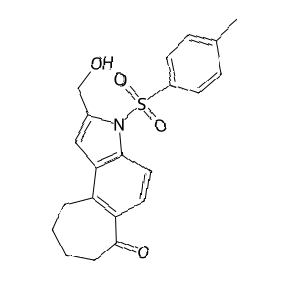 Cc1ccc(S(=O)(=O)n2c(CO)cc3c4c(ccc32)C(=O)CCCC4)cc1